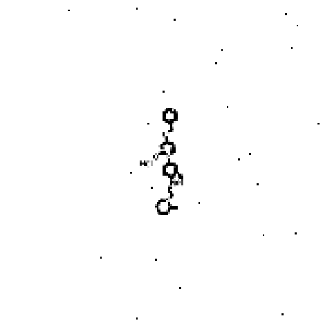 CC1CCCCN1CCn1ncc2cc(-n3ccc(OCc4ccccc4)cc3=O)ccc21.Cl